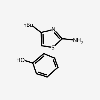 CCCCc1csc(N)n1.Oc1ccccc1